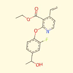 C=Cc1ccnc(Oc2ccc(C(C)O)cc2F)c1C(=O)OCC